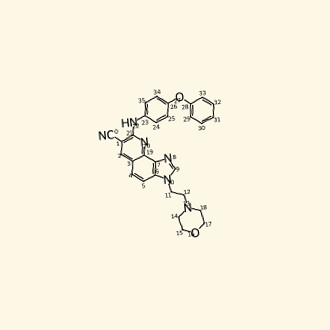 N#Cc1cc2ccc3c(ncn3CCN3CCOCC3)c2nc1Nc1ccc(Oc2ccccc2)cc1